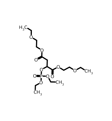 CCOCCOC(=O)CC(OP(=O)(OCC)OCC)C(=O)OCCOCC